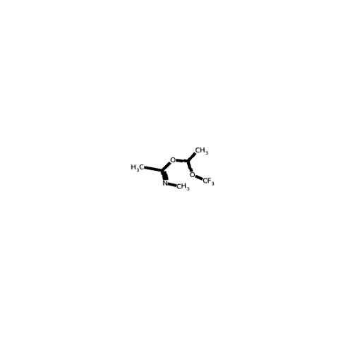 C/N=C(/C)OC(C)OC(F)(F)F